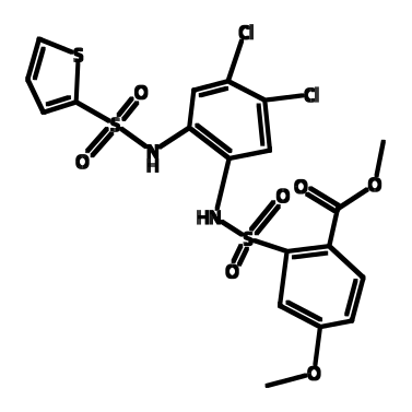 COC(=O)c1ccc(OC)cc1S(=O)(=O)Nc1cc(Cl)c(Cl)cc1NS(=O)(=O)c1cccs1